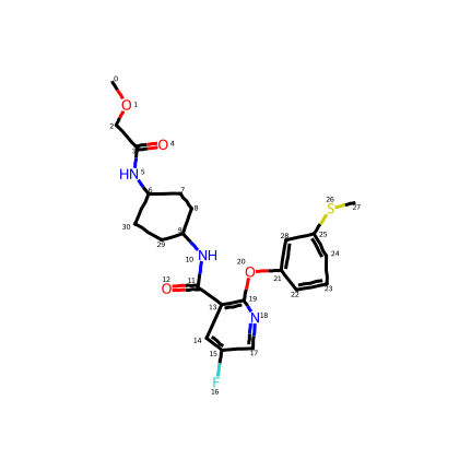 COCC(=O)NC1CCC(NC(=O)c2cc(F)cnc2Oc2cccc(SC)c2)CC1